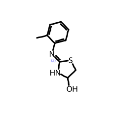 Cc1ccccc1/N=C1/NC(O)CS1